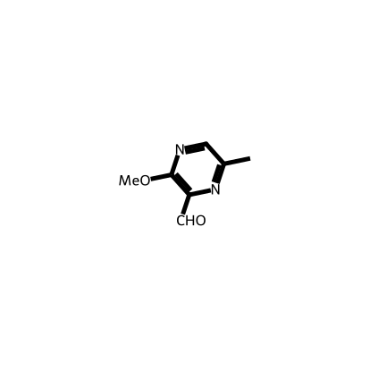 COc1ncc(C)nc1C=O